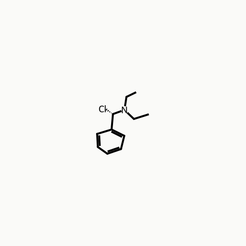 CCN(CC)[C@@H](Cl)c1ccccc1